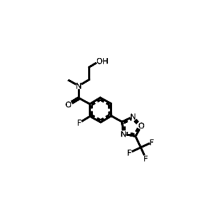 CN(CCO)C(=O)c1ccc(-c2noc(C(F)(F)F)n2)cc1F